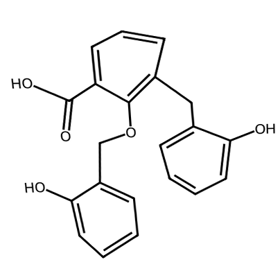 O=C(O)c1cccc(Cc2ccccc2O)c1OCc1ccccc1O